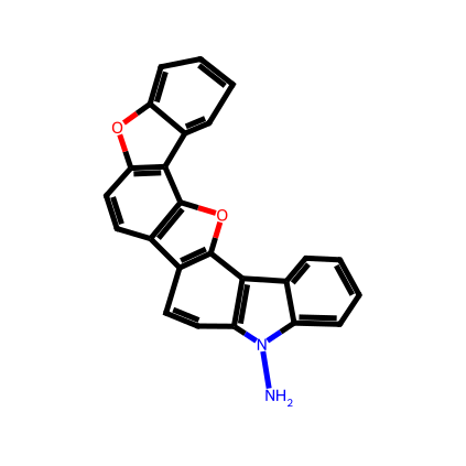 Nn1c2ccccc2c2c3oc4c(ccc5oc6ccccc6c54)c3ccc21